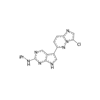 CC(C)Nc1ncc2c(-c3ccc4ncc(Cl)n4n3)c[nH]c2n1